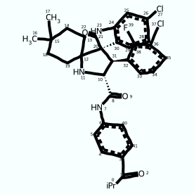 CC(C)C(=O)c1ccc(NC(=O)[C@@H]2NC3(CCC(C)(C)CC3)[C@@]3(C(=O)Nc4cc(Cl)ccc43)[C@H]2c2cccc(Cl)c2F)cc1